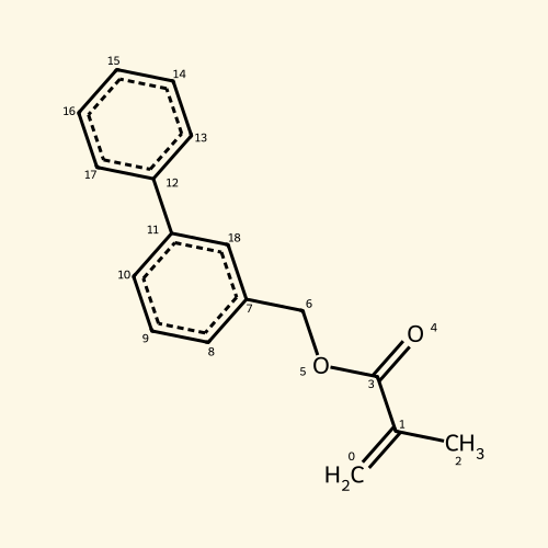 C=C(C)C(=O)OCc1cccc(-c2ccccc2)c1